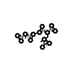 Cc1c(-n2c3ccccc3c3ccccc32)cccc1-n1c2ccccc2c2cc(-c3ccc4c(c3)c3ccccc3n4-c3cc(Cc4ccc(C)c5c4c4ccccc4n5-c4ccccc4)cc(-n4c5ccccc5c5ccccc54)c3)ccc21